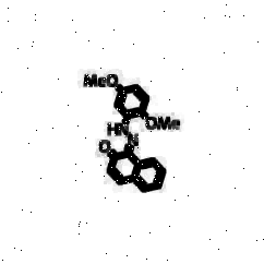 COc1ccc(OC)c(N/N=C2\C(=O)C=Cc3ccccc32)c1